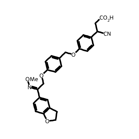 CON=C(COc1ccc(COc2ccc(C(C#N)CC(=O)O)cc2)cc1)c1ccc2c(c1)CCO2